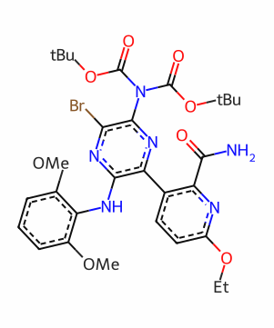 CCOc1ccc(-c2nc(N(C(=O)OC(C)(C)C)C(=O)OC(C)(C)C)c(Br)nc2Nc2c(OC)cccc2OC)c(C(N)=O)n1